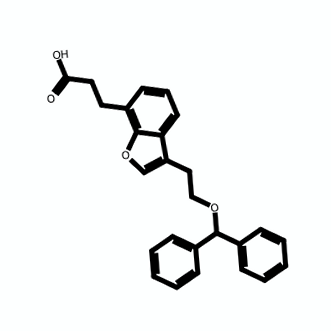 O=C(O)CCc1cccc2c(CCOC(c3ccccc3)c3ccccc3)coc12